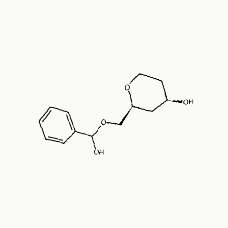 OC(OC[C@@H]1C[C@H](O)CCO1)c1ccccc1